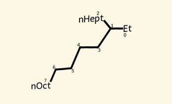 [CH2]CC(CCCCCCC)CCCCCCCCCCCC